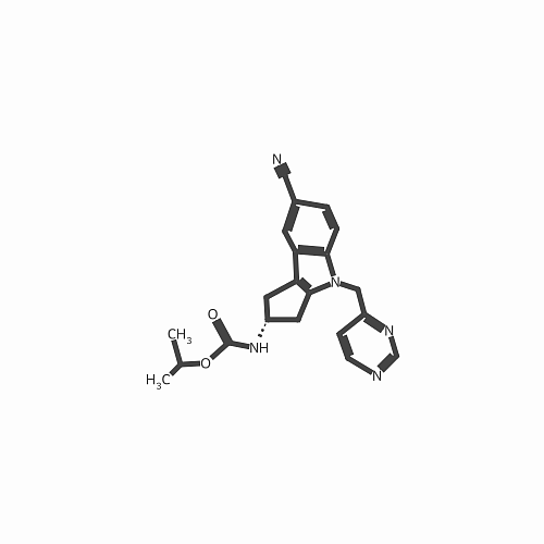 CC(C)OC(=O)N[C@@H]1Cc2c(n(Cc3ccncn3)c3ccc(C#N)cc23)C1